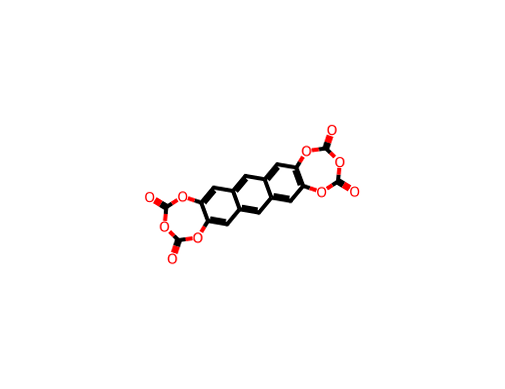 O=c1oc(=O)oc2cc3cc4cc5oc(=O)oc(=O)oc5cc4cc3cc2o1